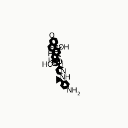 C[C@]12C=CC(=O)C=C1CC[C@H]1[C@@H]3C[C@H]4O[C@@H](c5ccc(NC6(c7ccc(N)cc7)CC6)nc5)O[C@@]4(C(O)CO)[C@@]3(C)C[C@H](O)[C@@]12F